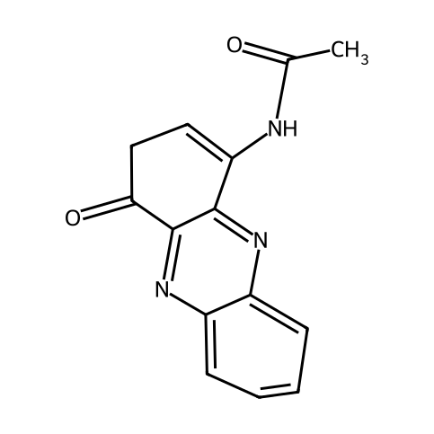 CC(=O)NC1=CCC(=O)c2nc3ccccc3nc21